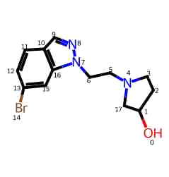 OC1CCN(CCn2ncc3ccc(Br)cc32)C1